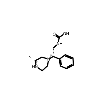 C[C@@H]1CN([C@H](CNC(=O)O)c2ccccc2)CCN1